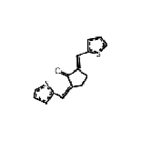 O=C1C(=Cc2cccs2)CCC1=Cc1cccs1